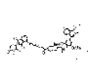 COc1cc(-c2cn(C)c(=O)c3cnccc23)cc(OC)c1CN(C)CC1CC2CN(C(=O)CCOCCOc3cccc4c3C(=O)N(C3CCC(=O)NC3=O)C4=O)CC2C1